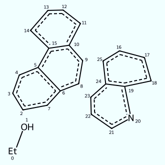 CCO.c1ccc2c(c1)ccc1ccccc12.c1ccc2ncccc2c1